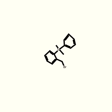 C[Si](C)(c1ccccc1)c1ccccc1CBr